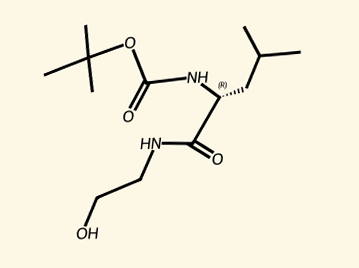 CC(C)C[C@@H](NC(=O)OC(C)(C)C)C(=O)NCCO